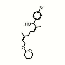 CC(=CCOC1CCCCO1)CCC=C(C)C(O)c1ccc(Br)cc1